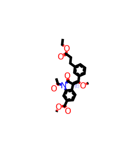 CCOC(=O)CCc1cccc(/C(OC)=C2\C(=O)N(C(C)=O)c3cc(C(=O)OC)ccc32)c1